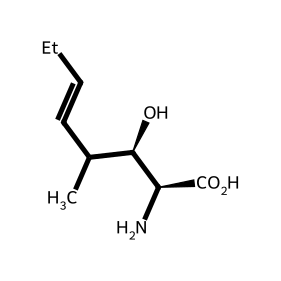 CCC=CC(C)[C@@H](O)[C@H](N)C(=O)O